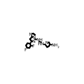 Nc1ccc(NCCNc2nc(-c3ccc(F)cc3F)cc3nccn23)nc1